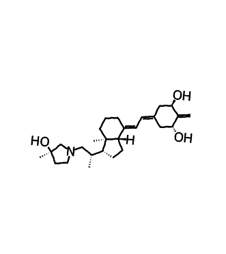 C=C1[C@H](O)CC(=C/C=C2\CCC[C@]3(C)[C@@H]([C@H](C)CN4CC[C@@](C)(O)C4)CC[C@@H]23)C[C@H]1O